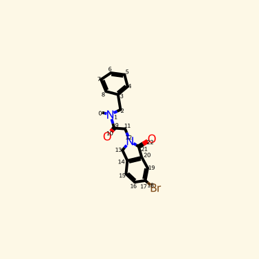 CN(Cc1ccccc1)C(=O)CN1Cc2ccc(Br)cc2C1=O